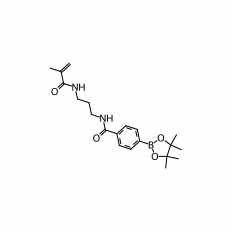 C=C(C)C(=O)NCCCNC(=O)c1ccc(B2OC(C)(C)C(C)(C)O2)cc1